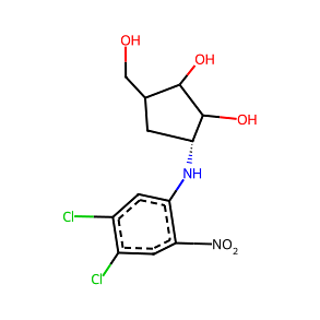 O=[N+]([O-])c1cc(Cl)c(Cl)cc1N[C@@H]1CC(CO)C(O)C1O